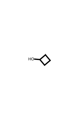 OC1[CH]CC1